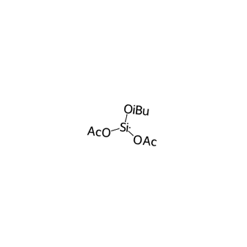 CC(=O)O[Si](OCC(C)C)OC(C)=O